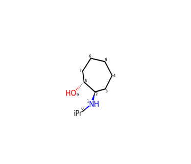 CC(C)N[C@@H]1CCCCC[C@H]1O